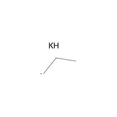 [CH2]CC.[KH]